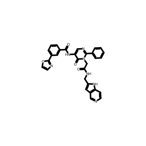 O=C(Cn1c(-c2ccccc2)ncc(NC(=O)c2cccc(-c3ncco3)c2)c1=O)NCc1cc2cnccc2[nH]1